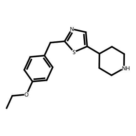 CCOc1ccc(Cc2ncc(C3CCNCC3)s2)cc1